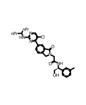 CCCC(CCC)Nc1ncc(Cl)c(-c2ccc3c(c2)C(=O)N(CC(=O)N[C@H](CO)c2cccc(C)c2)C3)n1